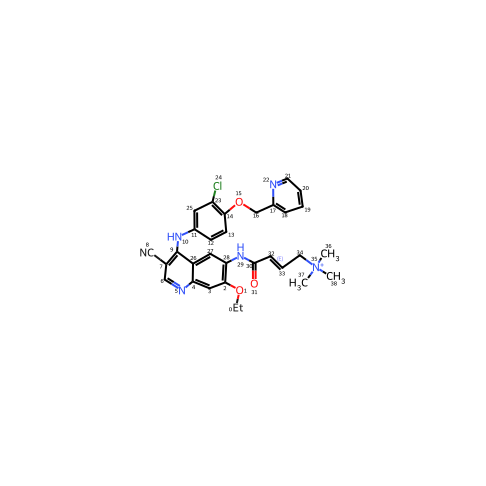 CCOc1cc2ncc(C#N)c(Nc3ccc(OCc4ccccn4)c(Cl)c3)c2cc1NC(=O)/C=C/C[N+](C)(C)C